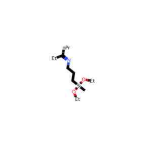 CCCC(CC)=NCCC[Si](C)(OCC)OCC